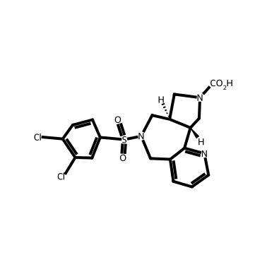 O=C(O)N1C[C@@H]2CN(S(=O)(=O)c3ccc(Cl)c(Cl)c3)Cc3cccnc3[C@H]2C1